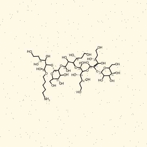 NCCCCCO[C@@H](O)C(O[C@H]1OC(CO)[C@@H](O)C(O)C1O[C@H](O)C(O)C(O[C@@H](O)C(O[C@@H](O)/C(O[C@@H]1OC(CO)[C@@H](O)C(O)C1O)=C(/O)[C@H](O)CCO)[C@@H](O)[C@H](O)CCO)[C@H](O)CCO)C(O)[C@H](O)CCO